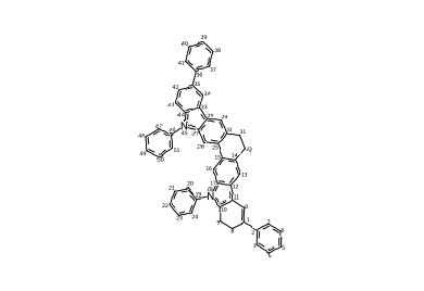 C1=C(c2ccccc2)CCc2c1c1cc3c(cc1n2-c1ccccc1)-c1cc2c(cc1CC3)c1cc(-c3ccccc3)ccc1n2-c1ccccc1